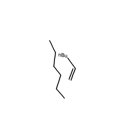 C=CCCCC.CCCCCC